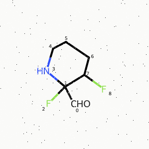 O=CC1(F)NCCCC1F